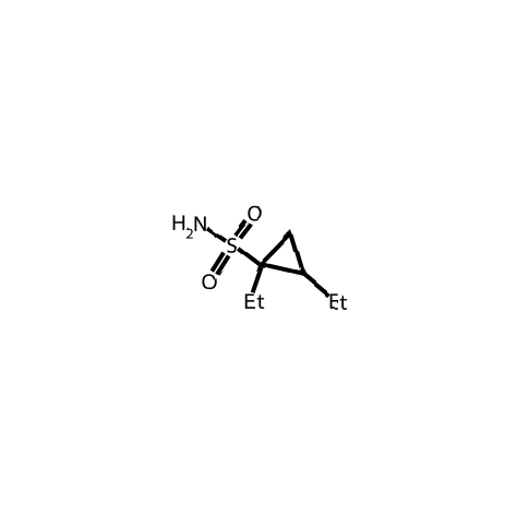 CCC1CC1(CC)S(N)(=O)=O